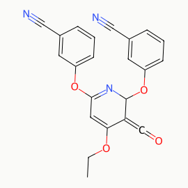 CCOC1=CC(Oc2cccc(C#N)c2)=NC(Oc2cccc(C#N)c2)C1=C=O